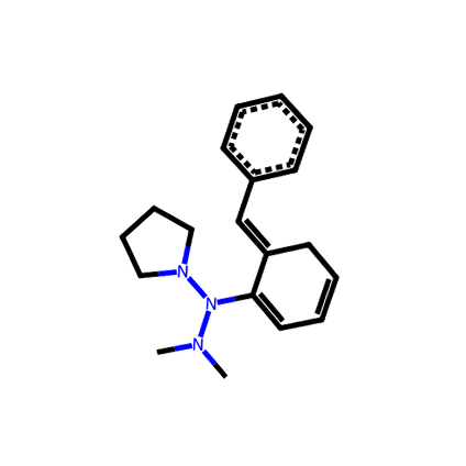 CN(C)N(C1=CC=CCC1=Cc1ccccc1)N1CCCC1